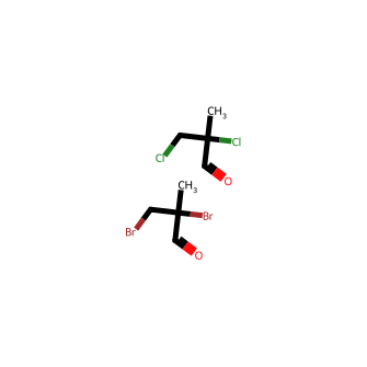 CC(Br)(C=O)CBr.CC(Cl)(C=O)CCl